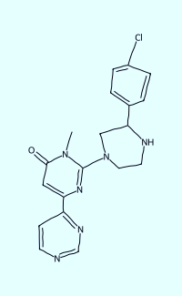 Cn1c(N2CCNC(c3ccc(Cl)cc3)C2)nc(-c2ccncn2)cc1=O